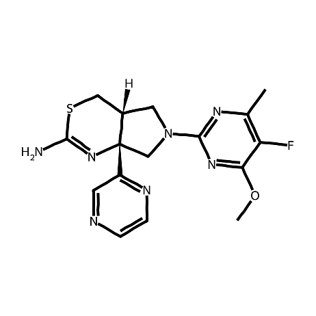 COc1nc(N2C[C@H]3CSC(N)=N[C@@]3(c3cnccn3)C2)nc(C)c1F